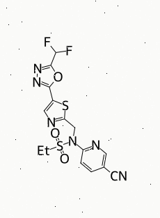 CCS(=O)(=O)N(Cc1ncc(-c2nnc(C(F)F)o2)s1)c1ccc(C#N)cn1